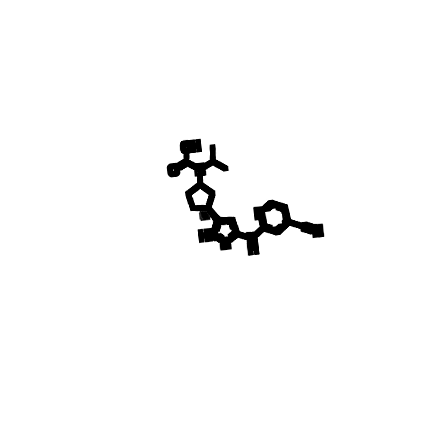 CC(C)N(C(=O)O)C1CC[C@H](c2cc(Nc3cc(C#N)ccn3)n[nH]2)C1